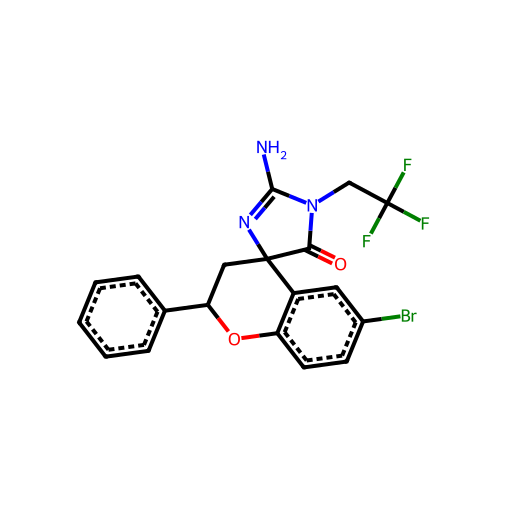 NC1=NC2(CC(c3ccccc3)Oc3ccc(Br)cc32)C(=O)N1CC(F)(F)F